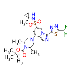 C[C@@H]1CN(c2cc(S(=O)(=O)NC3(C)CC3)cn3c(-c4nnc(C(F)F)s4)ncc23)C[C@@H](C)N1C(=O)OC(C)(C)C